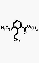 CCCc1c(OC)cccc1C(=O)OC